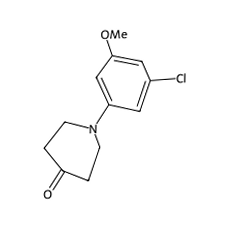 COc1cc(Cl)cc(N2CCC(=O)CC2)c1